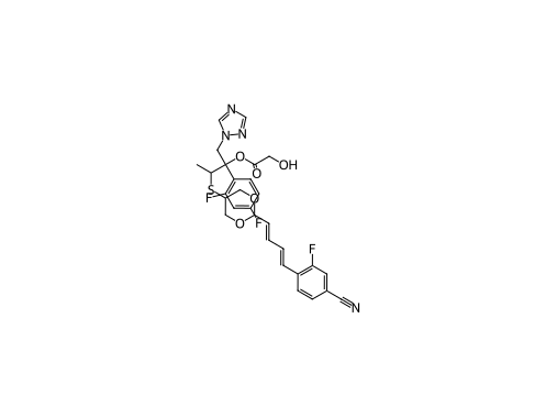 CC(SC1COC(C=CC=Cc2ccc(C#N)cc2F)OC1)C(Cn1cncn1)(OC(=O)CO)c1ccc(F)cc1F